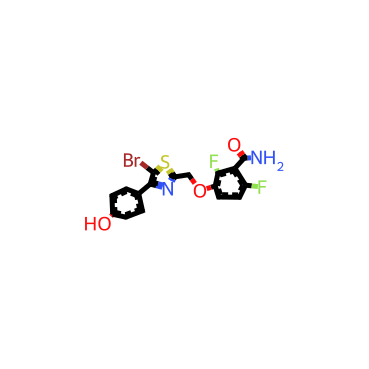 NC(=O)c1c(F)ccc(OCc2nc(-c3ccc(O)cc3)c(Br)s2)c1F